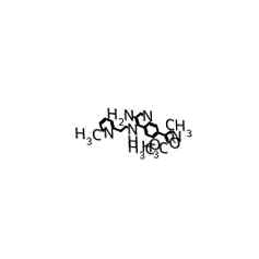 COc1cc2c(NCCc3cccc(C)n3)c(N)cnc2cc1-c1c(C)noc1C